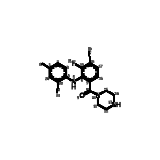 Cc1ccc(Nc2c(C(=O)N3CCNCC3)ccc(F)c2F)c(F)c1